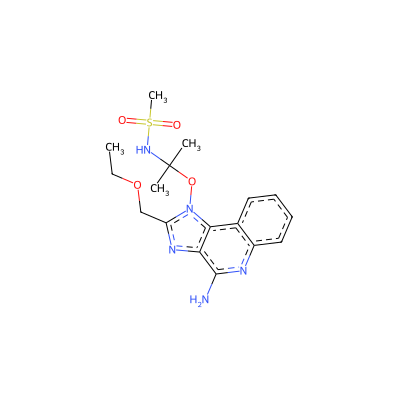 CCOCc1nc2c(N)nc3ccccc3c2n1OC(C)(C)NS(C)(=O)=O